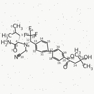 CC(C)C[C@@H](C(N)=O)N(CC#N)[C@@H](c1ccc(-c2ccc(S(=O)(=O)CC(C)(C)O)cc2)cc1)C(F)(F)F